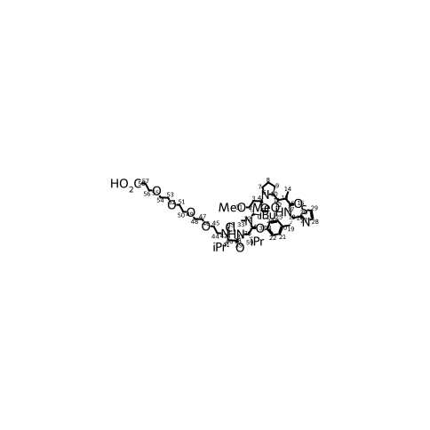 CC[C@H](C)[C@@H](C(CC(=O)N1CCC[C@H]1[C@H](OC)C(C)C(=O)N[C@@H](Cc1ccccc1)c1nccs1)OC)N(C)C(=O)[C@@H](NC(=O)[C@H](C(C)C)N(Cl)CCOCCOCCOCCOCCC(=O)O)C(C)C